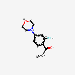 COC(=O)c1ccc(N2CCOCC2)cc1F